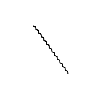 [CH]=CC=CC=CC=CC=CC=CCCCCCCCCCCCCCCC